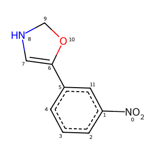 O=[N+]([O-])c1cccc(C2=CNCO2)c1